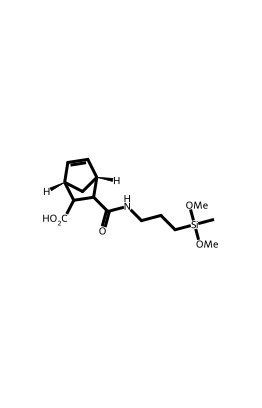 CO[Si](C)(CCCNC(=O)C1C(C(=O)O)[C@@H]2C=C[C@H]1C2)OC